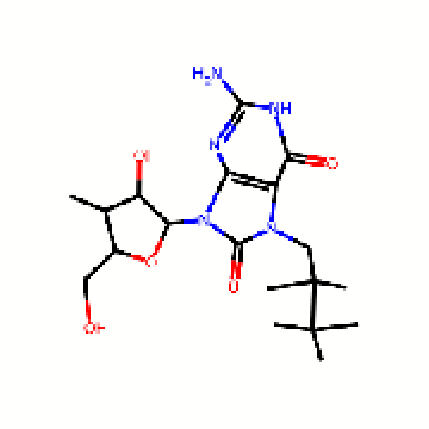 CC1C(CO)OC(n2c(=O)n(CC(C)(C)C(C)(C)C)c3c(=O)[nH]c(N)nc32)C1O